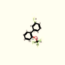 Fc1cccc(-c2[c]cccc2OC(F)(F)F)c1